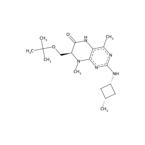 Cc1nc(N[C@H]2C[C@@H](C)C2)nc2c1NC(=O)[C@H](COC(C)(C)C)N2C